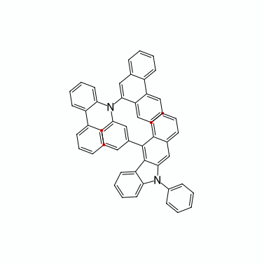 c1ccc(-c2ccccc2N(c2cccc(-c3c4ccccc4cc4c3c3ccccc3n4-c3ccccc3)c2)c2cc3ccccc3c3ccccc23)cc1